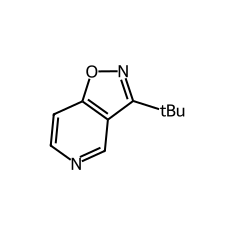 CC(C)(C)c1noc2ccncc12